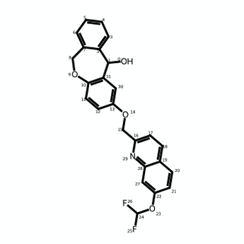 OC1c2ccccc2COc2ccc(OCc3ccc4ccc(OC(F)F)cc4n3)cc21